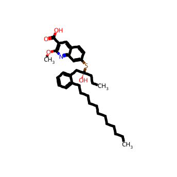 CCCCCCCCCCCCc1ccccc1C[C@](O)(CCC)Sc1ccc2cc(C(=O)O)c(OC)nc2c1